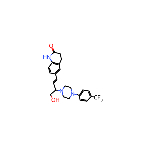 O=C1CCc2cc(C=CC(CO)N3CCN(c4ccc(C(F)(F)F)cc4)CC3)ccc2N1